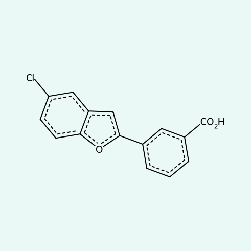 O=C(O)c1cccc(-c2cc3cc(Cl)ccc3o2)c1